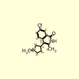 Cc1[nH]c(=O)c2cc(Cl)ccc2c1C1CCN(C)C1